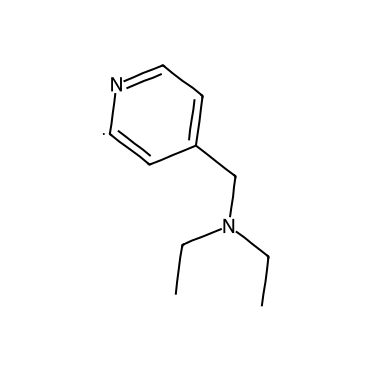 CCN(CC)Cc1c[c]ncc1